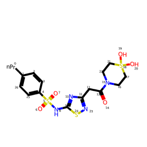 CCCc1ccc(S(=O)(=O)Nc2nc(CC(=O)N3CCS(O)(O)CC3)ns2)cc1